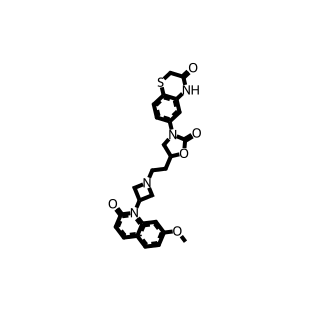 COc1ccc2ccc(=O)n(C3CN(CCC4CN(c5ccc6c(c5)NC(=O)CS6)C(=O)O4)C3)c2c1